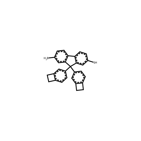 Bc1ccc2c(c1)C(c1ccc3c(c1)CC3)(c1ccc3c(c1)CC3)c1cc(S)ccc1-2